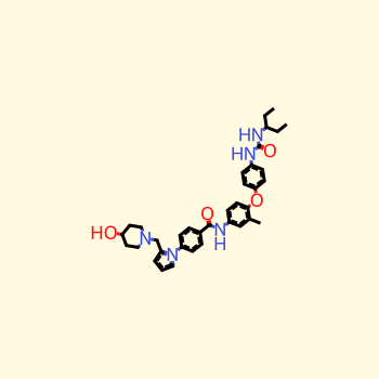 CCC(CC)NC(=O)Nc1ccc(Oc2ccc(NC(=O)c3ccc(-n4cccc4CN4CCC(O)CC4)cc3)cc2C)cc1